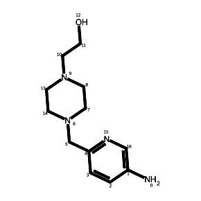 Nc1ccc(CN2CCN(CCO)CC2)nc1